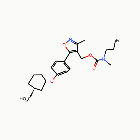 Cc1noc(-c2ccc(O[C@H]3CCC[C@H](C(=O)O)C3)cc2)c1COC(=O)N(C)CCC(C)C